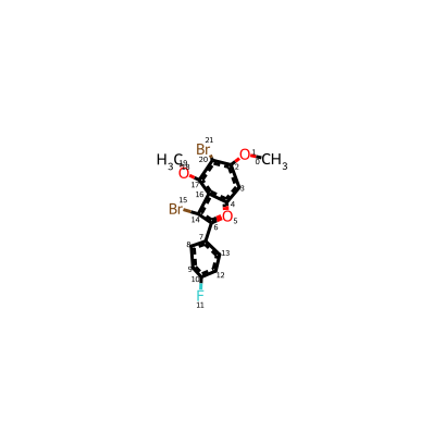 COc1cc2oc(-c3ccc(F)cc3)c(Br)c2c(OC)c1Br